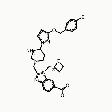 N.O=C(O)c1ccc2nc(CN3CCC(n4ccc(OCc5ccc(Cl)cc5)n4)CC3)n(C[C@@H]3CCO3)c2c1